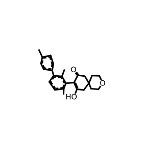 Cc1ccc(-c2ccc(C)c(C3=C(O)CC4(CCOCC4)CC3=O)c2C)cc1